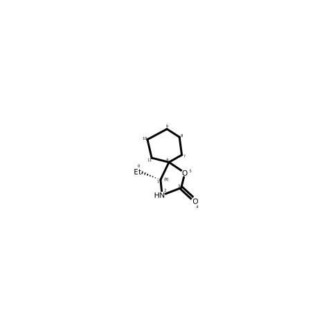 CC[C@H]1NC(=O)OC12CCCCC2